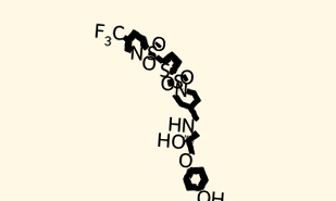 O=S(=O)(c1ccc(C(F)(F)F)cn1)c1ccc(S(=O)(=O)N2CCC(CNC[C@@H](O)COc3ccc(O)cc3)CC2)s1